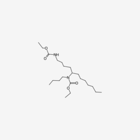 CCCCCCCC(CCCCNC(=O)OCC)N(CCCC)C(=O)OCC